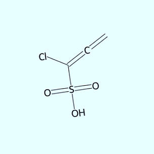 C=C=C(Cl)S(=O)(=O)O